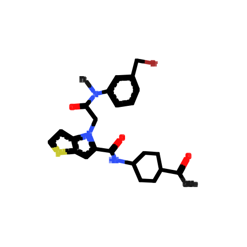 CCN(C(=O)Cn1c(C(=O)NC2CCC(C(=O)OC)CC2)cc2sccc21)c1cccc(CBr)c1